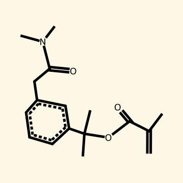 C=C(C)C(=O)OC(C)(C)c1cccc(CC(=O)N(C)C)c1